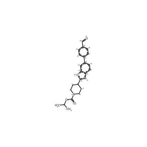 CC(C)OC(=O)N1CCC(c2nc3ccc(-c4ccc(C=O)cc4)cc3o2)CC1